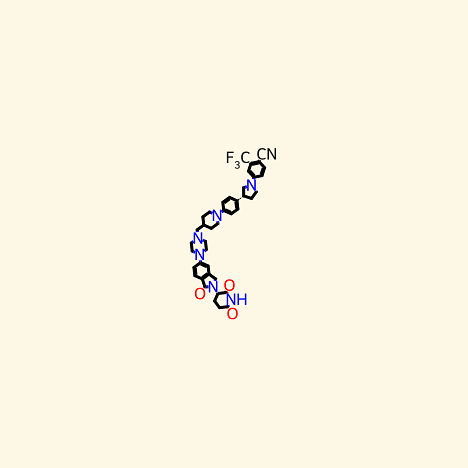 N#Cc1ccc(N2CC[C@H](c3ccc(N4CCC(CN5CCN(c6ccc7c(c6)CN(C6CCC(=O)NC6=O)C7=O)CC5)CC4)cc3)C2)cc1C(F)(F)F